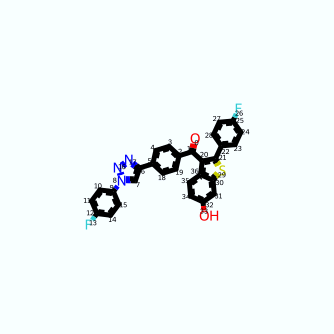 O=C(c1ccc(-c2cn(-c3ccc(F)cc3)nn2)cc1)c1c(-c2ccc(F)cc2)sc2cc(O)ccc12